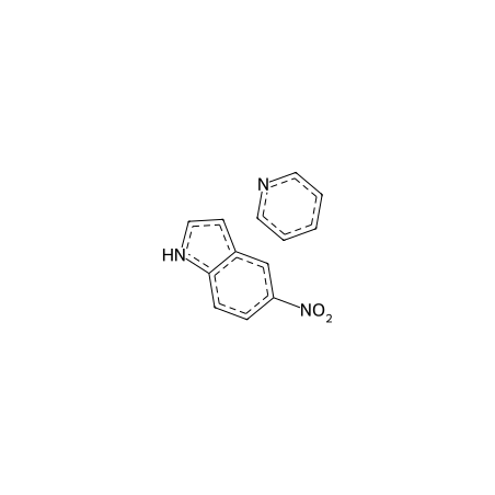 O=[N+]([O-])c1ccc2[nH]ccc2c1.c1ccncc1